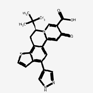 CC(C)(C)[C@@H]1Cc2c(cc(-c3cn[nH]c3)c3ccsc23)-c2cc(=O)c(C(=O)O)cn21